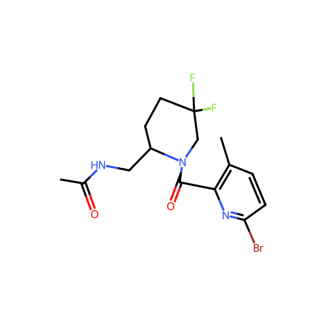 CC(=O)NCC1CCC(F)(F)CN1C(=O)c1nc(Br)ccc1C